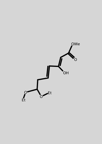 CCOC(CC=CC(O)=CC(=O)OC)OCC